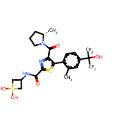 Cc1cc(C(O)(C(F)(F)F)C(F)(F)F)ccc1-c1sc(C(=O)NC2CS(O)(O)C2)nc1C(=O)N1CCC[C@@H]1C